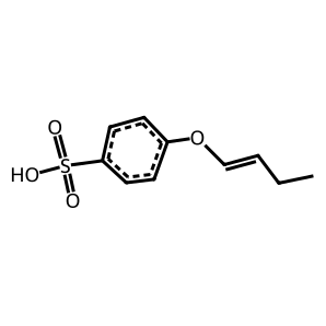 CCC=COc1ccc(S(=O)(=O)O)cc1